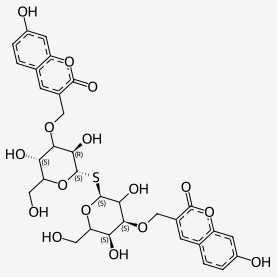 O=c1oc2cc(O)ccc2cc1COC1[C@@H](O)C(CO)O[C@@H](S[C@@H]2OC(CO)[C@H](O)[C@H](OCc3cc4ccc(O)cc4oc3=O)C2O)[C@@H]1O